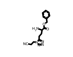 N#CCCn1nnnc1CCC(N)C(=O)OCc1ccccc1